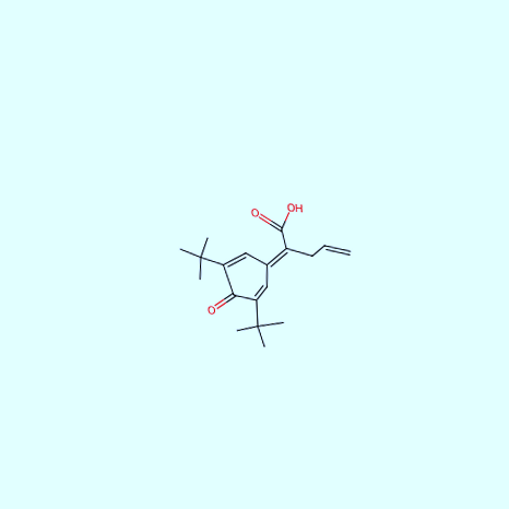 C=CCC(C(=O)O)=C1C=C(C(C)(C)C)C(=O)C(C(C)(C)C)=C1